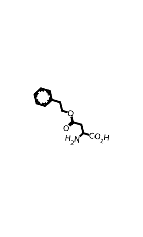 NC(CC(=O)OCCc1ccccc1)C(=O)O